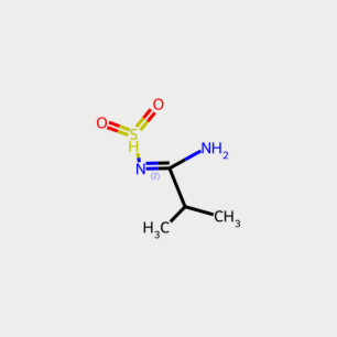 CC(C)/C(N)=N/[SH](=O)=O